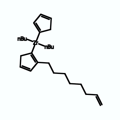 C=CCCCCCCC1=[C]([Zr]([CH2]CCC)([CH2]CCC)[C]2=CC=CC2)CC=C1